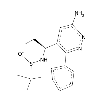 CC[C@H](N[S+]([O-])C(C)(C)C)c1cc(N)nnc1-c1ccccc1